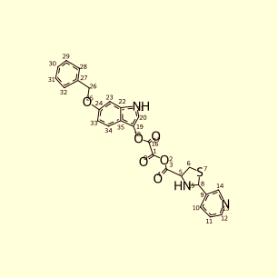 O=C(OC(=O)C1CSC(c2cccnc2)N1)C(=O)Oc1c[nH]c2cc(OCc3ccccc3)ccc12